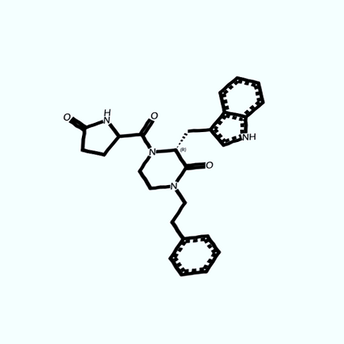 O=C1CCC(C(=O)N2CCN(CCc3ccccc3)C(=O)[C@H]2Cc2c[nH]c3ccccc23)N1